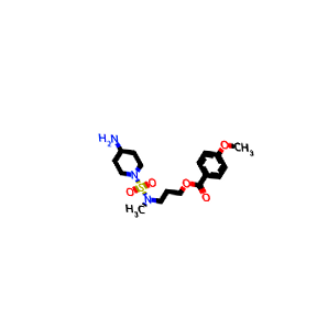 COc1ccc(C(=O)OCCCN(C)S(=O)(=O)N2CCC(N)CC2)cc1